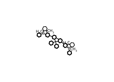 CC12CCCCC1(C)c1cc(-c3ccc4c(c3)C(c3ccccc3)(c3ccccc3)c3cc(-c5ccc6c(c5)C5(C)CCCCC5(C)B6c5ccccc5)ccc3-4)ccc1B2c1ccccc1